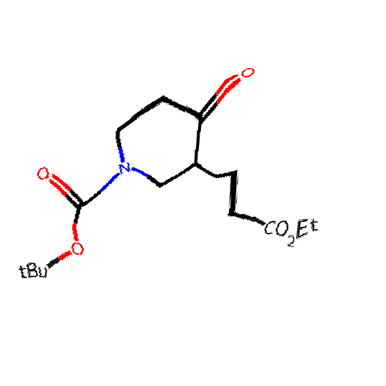 CCOC(=O)CCC1CN(C(=O)OC(C)(C)C)CCC1=O